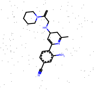 C=C(CNC1C=C(c2ccc(C#N)cc2N)N=C(C)C1)N1CCCCC1